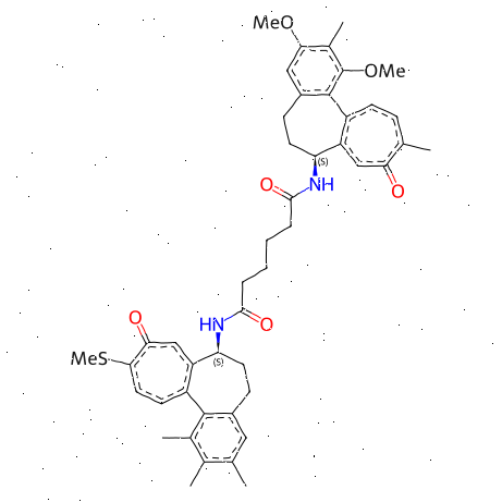 COc1cc2c(c(OC)c1C)-c1ccc(C)c(=O)cc1[C@@H](NC(=O)CCCCC(=O)N[C@H]1CCc3cc(C)c(C)c(C)c3-c3ccc(SC)c(=O)cc31)CC2